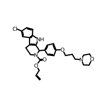 C=CCOC(=O)N1CCc2c([nH]c3ccc(Cl)cc23)C1c1ccc(OCCCN2CCOCC2)cc1